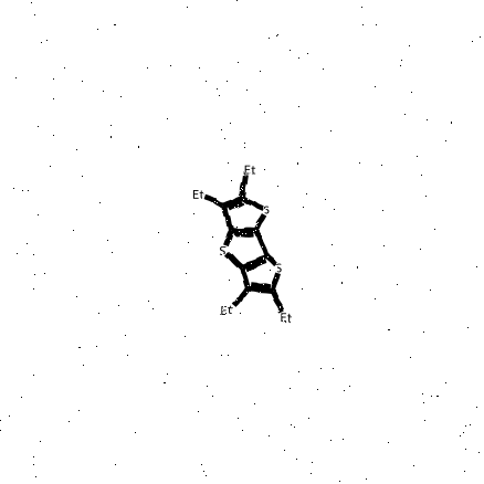 CCc1sc2c(sc3c(CC)c(CC)sc32)c1CC